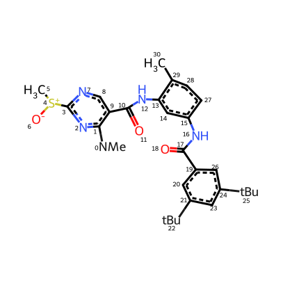 CNc1nc([S+](C)[O-])ncc1C(=O)Nc1cc(NC(=O)c2cc(C(C)(C)C)cc(C(C)(C)C)c2)ccc1C